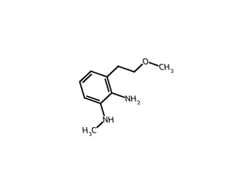 CNc1cccc(CCOC)c1N